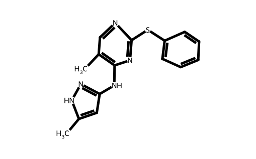 Cc1cc(Nc2nc(Sc3ccccc3)ncc2C)n[nH]1